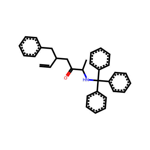 C=CC(CC(=O)C(C)NC(c1ccccc1)(c1ccccc1)c1ccccc1)Cc1ccccc1